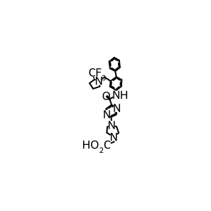 O=C(O)CN1CCN(c2cnc(C(=O)Nc3ccc(-c4ccccc4)c(CN4CCC[C@H]4C(F)(F)F)c3)cn2)CC1